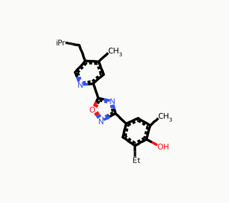 CCc1cc(-c2noc(-c3cc(C)c(CC(C)C)cn3)n2)cc(C)c1O